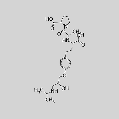 CC(C)NC[C@H](O)COc1ccc(CC[C@H](N[C@@H](C)C(=O)N2CCC[C@H]2C(=O)O)C(=O)O)cc1